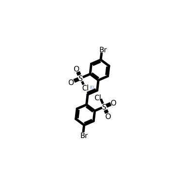 O=S(=O)(Cl)c1cc(Br)ccc1/C=C/c1ccc(Br)cc1S(=O)(=O)Cl